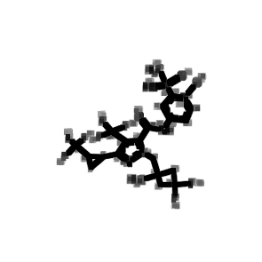 CC1(Cn2nc(C3CC3C(F)(F)F)c(C(F)(F)F)c2C(=O)Nc2cc[n+]([O-])c(S(C)(=N)=O)c2)CC(F)(F)C1